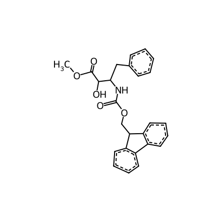 COC(=O)C(O)C(Cc1ccccc1)NC(=O)OCC1c2ccccc2-c2ccccc21